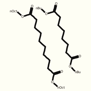 CCCCCCCCOC(=O)CCCCCCCCC(=O)OCCCCCCCC.CCCCOC(=O)CCCCCCC(=O)OCCCC